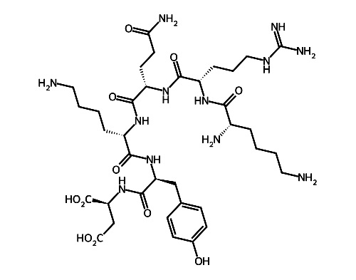 N=C(N)NCCC[C@H](NC(=O)[C@@H](N)CCCCN)C(=O)N[C@@H](CCC(N)=O)C(=O)N[C@@H](CCCCN)C(=O)N[C@@H](Cc1ccc(O)cc1)C(=O)N[C@@H](CC(=O)O)C(=O)O